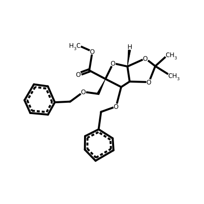 COC(=O)[C@]1(COCc2ccccc2)O[C@@H]2OC(C)(C)OC2C1OCc1ccccc1